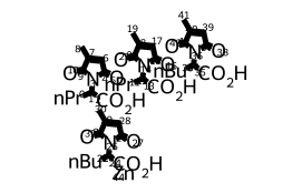 CCCC(C(=O)O)N1C(=O)C=C(C)C1=O.CCCC(C(=O)O)N1C(=O)C=C(C)C1=O.CCCCC(C(=O)O)N1C(=O)C=C(C)C1=O.CCCCC(C(=O)O)N1C(=O)C=C(C)C1=O.[Zn]